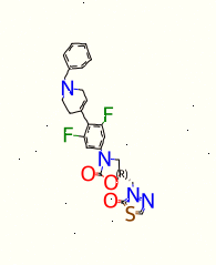 O=C1O[C@@H](Cn2ncsc2=O)CN1c1cc(F)c(C2=CCN(Cc3ccccc3)CC2)c(F)c1